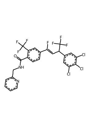 O=C(NCc1ccccn1)c1ccc(C(F)=CC(c2cc(Cl)c(Cl)c(Cl)c2)C(F)(F)F)cc1C(F)(F)F